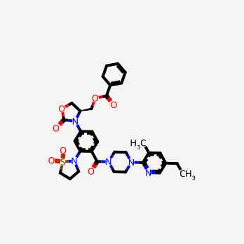 CCc1cnc(N2CCN(C(=O)c3ccc(N4C(=O)OC[C@H]4COC(=O)C4=CC=CCC4)cc3N3CCCS3(=O)=O)CC2)c(C)c1